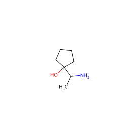 CC(N)C1(O)CCCC1